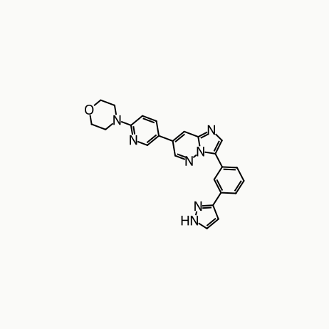 c1cc(-c2cc[nH]n2)cc(-c2cnc3cc(-c4ccc(N5CCOCC5)nc4)cnn23)c1